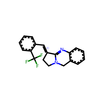 FC(F)(F)c1ccccc1/C=C1\CCN2Cc3ccccc3N=C12